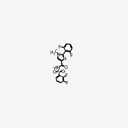 Cn1cc(C(=O)NS(=O)(=O)c2cccc(F)c2F)nc1-c1c(F)cccc1F